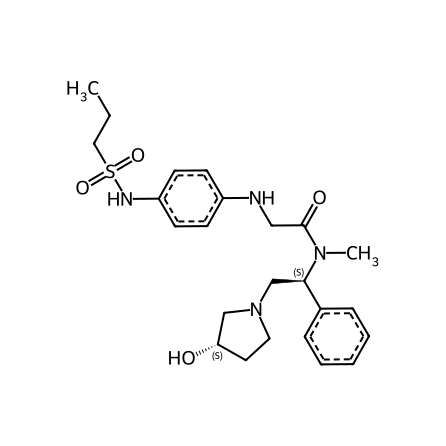 CCCS(=O)(=O)Nc1ccc(NCC(=O)N(C)[C@H](CN2CC[C@H](O)C2)c2ccccc2)cc1